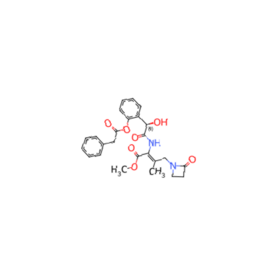 COC(=O)C(NC(=O)[C@H](O)c1ccccc1OC(=O)Cc1ccccc1)=C(C)CN1CCC1=O